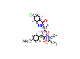 COc1ccc([C@H](NC(=O)[C@H](C)NC(=O)c2ccc(Cl)cc2)C(=O)N[C@H](C(=O)C(F)(F)F)C(C)C)cc1